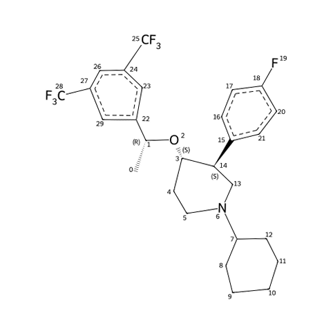 C[C@@H](O[C@H]1CCN(C2CCCCC2)C[C@@H]1c1ccc(F)cc1)c1cc(C(F)(F)F)cc(C(F)(F)F)c1